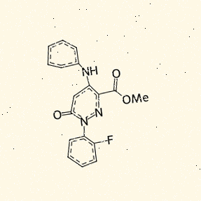 COC(=O)c1nn(-c2ccccc2F)c(=O)cc1Nc1ccccc1